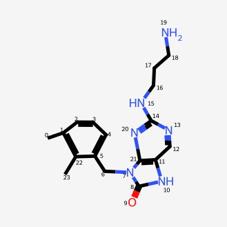 Cc1cccc(Cn2c(=O)[nH]c3cnc(NCCCN)nc32)c1C